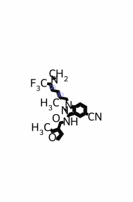 C=N/C(=C\C=C(/C)Cn1nc(NC(=O)c2ccoc2C)c2cc(C#N)ccc21)C(F)(F)F